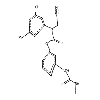 CNC(=O)Nc1cccc(OC(=O)N(CC#N)c2cc(Cl)cc(Cl)c2)c1